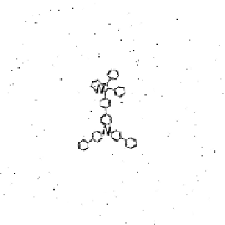 c1ccc(-c2ccc(N(c3ccc(-c4ccccc4)cc3)c3ccc(-c4ccc(-c5c(-c6ccccc6)c(-c6ccccc6)c6ccccn56)cc4)cc3)cc2)cc1